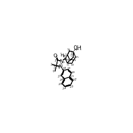 CC1(C)C(=O)N([C@H]2C3CC4CC2C[C@](O)(C4)C3)N1c1ccc2ccccc2c1